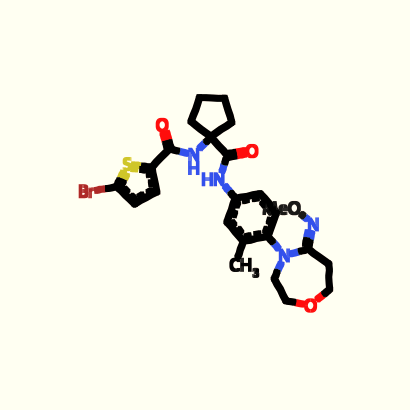 CON=C1CCOCCN1c1ccc(NC(=O)C2(NC(=O)c3ccc(Br)s3)CCCC2)cc1C